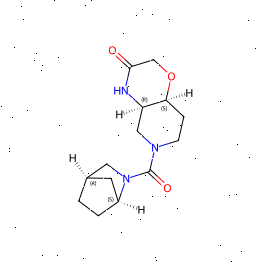 O=C1CO[C@H]2CCN(C(=O)N3C[C@@H]4CC[C@H]3C4)C[C@H]2N1